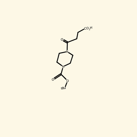 CC(C)(C)OC(=O)N1CCN(C(=O)CCC(=O)O)CC1